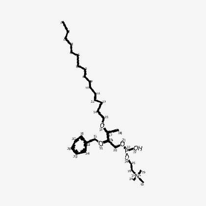 CCCCCCCCCCCCCCCCOC(C)C(COP(O)OCC[N+](C)(C)C)OCc1ccccc1